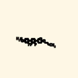 CCCCOC1CCC(c2ccc(-c3ccc(OC)cc3F)c(F)c2F)CO1